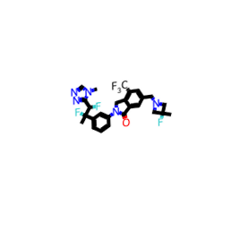 Cn1cnnc1C(F)C(C)(F)c1cccc(N2Cc3c(cc(CN4CC(C)(F)C4)cc3C(F)(F)F)C2=O)c1